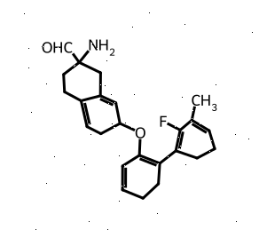 CC1=CCCC(C2=C(OC3C=C4CC(N)(C=O)CCC4=CC3)C=CCC2)=C1F